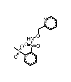 CS(=O)(=O)c1ccccc1S(=O)(=O)NOCc1ccccn1